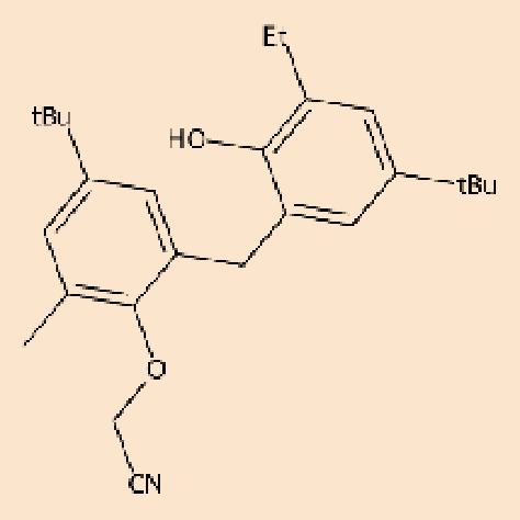 CCc1cc(C(C)(C)C)cc(Cc2cc(C(C)(C)C)cc(C)c2OCC#N)c1O